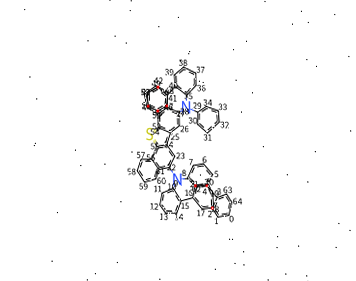 c1ccc(-c2cccc(N(c3ccccc3-c3ccccc3)c3cc4c5cc(N(c6ccccc6)c6ccccc6-c6ccccc6)c6ccccc6c5sc4c4ccccc34)c2)cc1